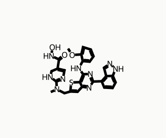 COc1ccccc1Nc1nc(-c2cccc3[nH]ncc23)nc2cc(CN(C)C3=NC=C(C(=O)NO)CN3)sc12